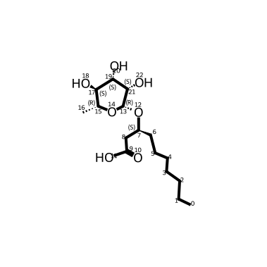 CCCCCCC[C@@H](CC(=O)O)O[C@@H]1O[C@H](C)[C@@H](O)[C@H](O)[C@@H]1O